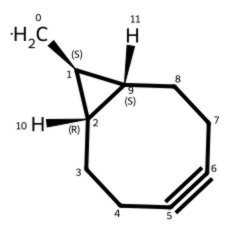 [CH2][C@@H]1[C@H]2CCC#CCC[C@@H]12